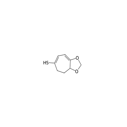 SC1=CC=C2OCOC2CC1